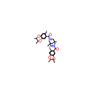 CC1Oc2cc(I)c(C(=O)N3CC4(C)CN(C(=O)c5cc6c(cc5I)OC(C)C(C)O6)CC(C)(C3)C4)cc2OC1C